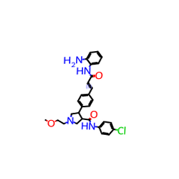 COCCN1CC(C(=O)Nc2ccc(Cl)cc2)C(c2ccc(/C=C/C(=O)Nc3ccccc3N)cc2)C1